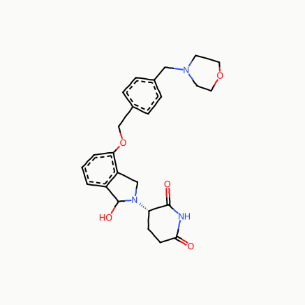 O=C1CC[C@H](N2Cc3c(OCc4ccc(CN5CCOCC5)cc4)cccc3C2O)C(=O)N1